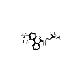 Cc1cccc(-c2ccccc2C(=O)NCCC(C)C)c1N